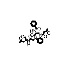 CC(=O)CC(=O)N1C[C@H](NC(=O)c2ccccc2)C(=O)N(CC(=O)N[C@H](C=O)CC(C)=O)c2ccccc21